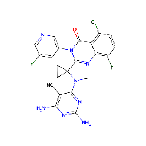 CN(c1nc(N)nc(N)c1C#N)C1(c2nc3c(F)ccc(Cl)c3c(=O)n2-c2cncc(F)c2)CC1